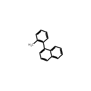 Cc1ccc[c]c1-c1cccc2ccccc12